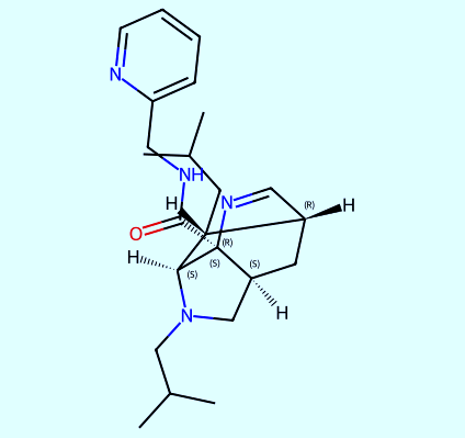 CC(C)C[C@@H]1[C@@H]2C=N[C@@]3(C(=O)NCc4ccccn4)[C@@H](C2)CN(CC(C)C)[C@@H]13